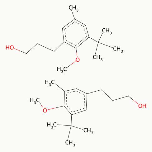 COc1c(C)cc(CCCO)cc1C(C)(C)C.COc1c(CCCO)cc(C)cc1C(C)(C)C